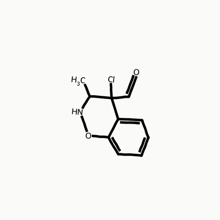 CC1NOc2ccccc2C1(Cl)C=O